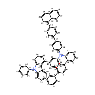 c1ccc(-c2ccc(-c3ccccc3N(c3ccc(-c4ccc(-c5cccc6ccccc56)cc4)cc3)c3cccc(-c4cccc5c4c4ccccc4n5-c4ccccc4)c3)cc2)cc1